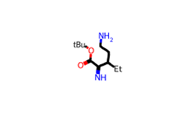 CCC(CCN)C(=N)C(=O)OC(C)(C)C